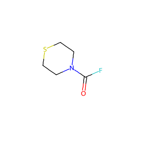 O=C(F)N1CCSCC1